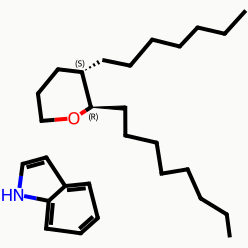 CCCCCCCC[C@H]1OCCC[C@@H]1CCCCCCC.c1ccc2[nH]ccc2c1